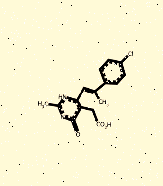 CC(=Cc1[nH]c(C)nc(=O)c1CC(=O)O)c1ccc(Cl)cc1